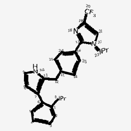 CC(C)c1ccccc1-c1cc[nH]c1Cc1ccc(-c2nc(C(F)(F)F)cn2C(C)C)cc1